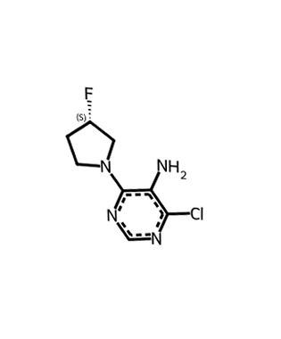 Nc1c(Cl)ncnc1N1CC[C@H](F)C1